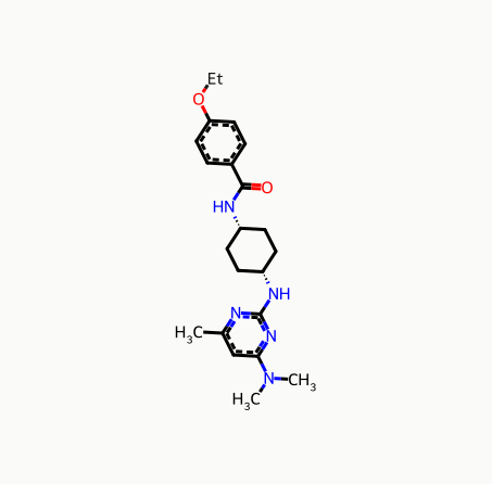 CCOc1ccc(C(=O)N[C@H]2CC[C@@H](Nc3nc(C)cc(N(C)C)n3)CC2)cc1